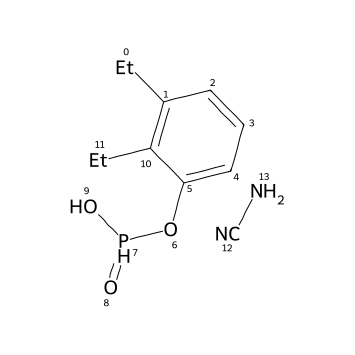 CCc1cccc(O[PH](=O)O)c1CC.N#CN